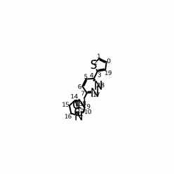 c1csc(-c2ccc(N3CCN4CCC3CC4)nn2)c1